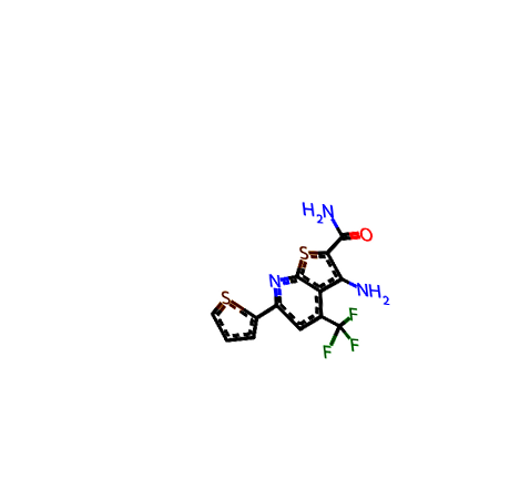 NC(=O)c1sc2nc(-c3cccs3)cc(C(F)(F)F)c2c1N